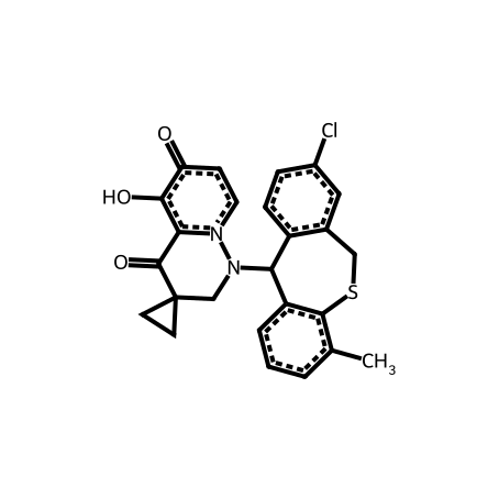 Cc1cccc2c1SCc1cc(Cl)ccc1C2N1CC2(CC2)C(=O)c2c(O)c(=O)ccn21